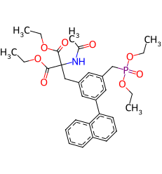 CCOC(=O)C(Cc1cc(CP(=O)(OCC)OCC)cc(-c2cccc3ccccc23)c1)(NC(C)=O)C(=O)OCC